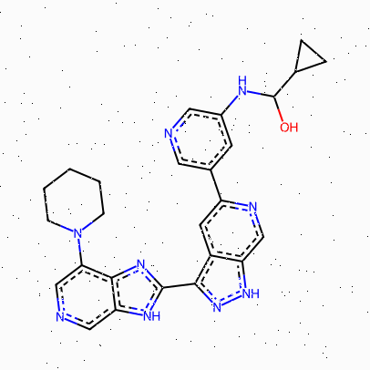 OC(Nc1cncc(-c2cc3c(-c4nc5c(N6CCCCC6)cncc5[nH]4)n[nH]c3cn2)c1)C1CC1